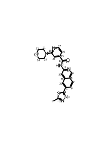 Cc1nnc(-c2ccc3cnc(NC(=O)c4ccnc(N5CCOCC5)c4)cc3c2)s1